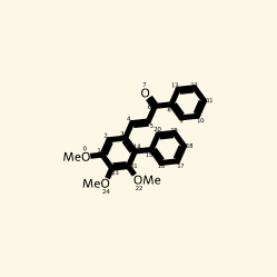 COc1cc(/C=C/C(=O)c2ccccc2)c(-c2ccccc2)c(OC)c1OC